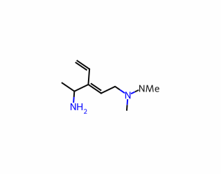 C=C/C(=C\CN(C)NC)C(C)N